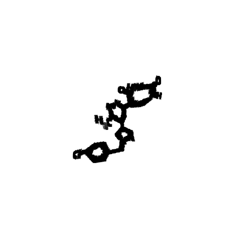 Cc1nnc(-c2c[nH]c(=O)[nH]c2=O)cc1-c1cnn(Cc2ccc(Cl)cc2)c1